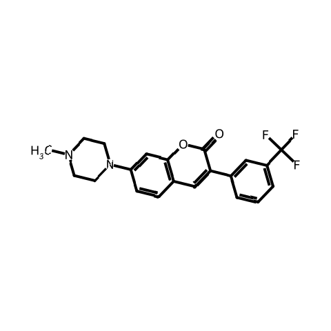 CN1CCN(c2ccc3cc(-c4cccc(C(F)(F)F)c4)c(=O)oc3c2)CC1